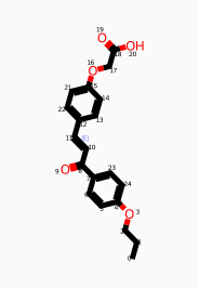 CCCOc1ccc(C(=O)/C=C/c2ccc(OCC(=O)O)cc2)cc1